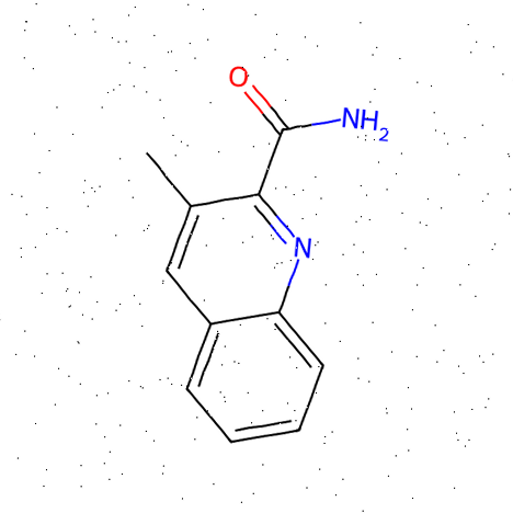 Cc1cc2ccccc2nc1C(N)=O